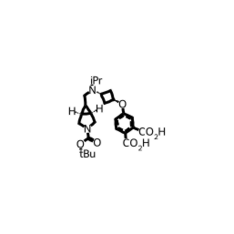 CC(C)N(CC1[C@H]2CN(C(=O)OC(C)(C)C)C[C@@H]12)[C@H]1C[C@H](Oc2ccc(C(=O)O)c(C(=O)O)c2)C1